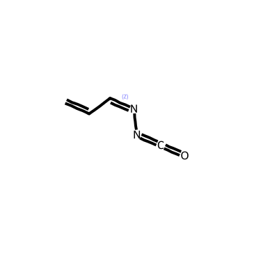 C=C/C=N\N=C=O